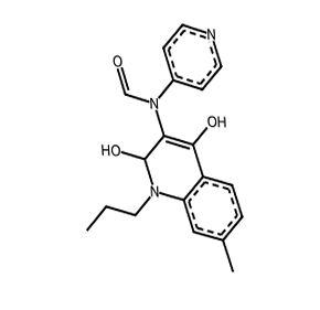 CCCN1c2cc(C)ccc2C(O)=C(N(C=O)c2ccncc2)C1O